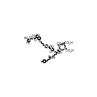 N#C[C@H]1CC(F)(F)CN1C(=O)CNC(=O)c1ccnc2ccc(OCCCCN3CCN(C(=O)CN4C(=O)CC(SCC(CCCCNC(=O)CCCc5ccc(I)cc5)NC(=O)CN5CCN(CC(=O)O)CCN(CC(=O)O)CCN(CC(=O)O)CC5)C4=O)CC3)cc12